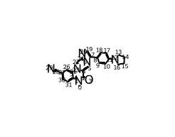 CN(C(=O)c1cn2c(-c3ccc(N4CCCC4)cc3)cnc2cn1)c1ccc(C#N)cc1